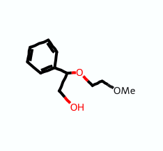 COCCOC(CO)c1ccccc1